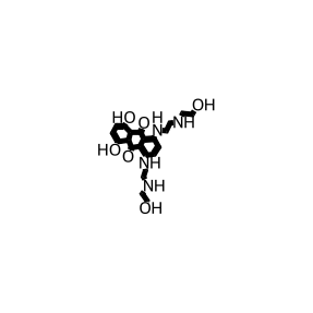 O=C1c2c(NCCNCCO)ccc(NCCNCCO)c2C(=O)C2C(O)=CC=C(O)C12